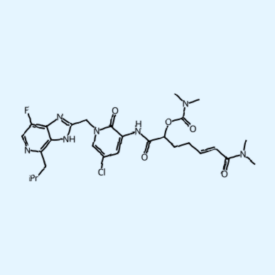 CC(C)Cc1ncc(F)c2nc(Cn3cc(Cl)cc(NC(=O)C(CCC=CC(=O)N(C)C)OC(=O)N(C)C)c3=O)[nH]c12